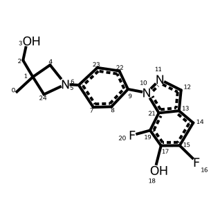 CC1(CO)CN(c2ccc(-n3ncc4cc(F)c(O)c(F)c43)cc2)C1